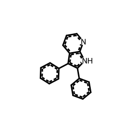 c1ccc(-c2[nH]c3ncccc3c2-c2ccccc2)cc1